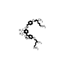 Cc1c(OOCc2ccc(OCCC(C)CCCP)cc2)ccc(C(OO)c2ccc(OCCC(C)CCCP)cc2)c1C